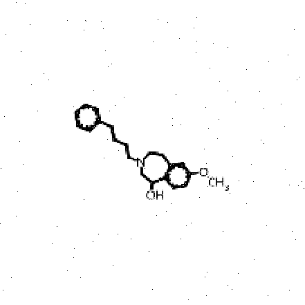 COc1ccc2c(c1)CCN(CCCCc1ccccc1)CC2O